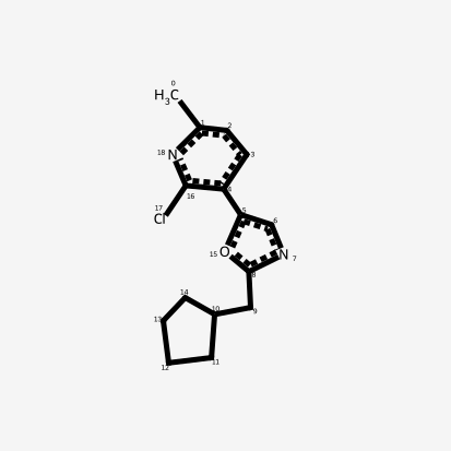 Cc1ccc(-c2cnc(CC3CCCC3)o2)c(Cl)n1